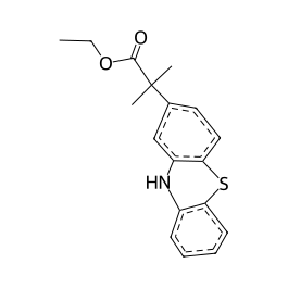 CCOC(=O)C(C)(C)c1ccc2c(c1)Nc1ccccc1S2